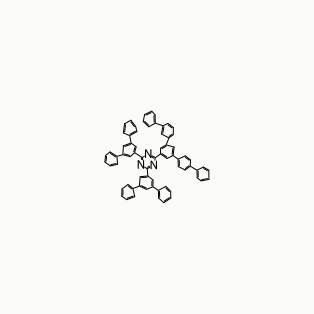 c1ccc(-c2ccc(-c3cc(-c4cccc(-c5ccccc5)c4)cc(-c4nc(-c5cc(-c6ccccc6)cc(-c6ccccc6)c5)nc(-c5cc(-c6ccccc6)cc(-c6ccccc6)c5)n4)c3)cc2)cc1